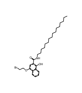 CCCCCCCCCCCCCCCCNC(=O)c1cc(OCCBr)c2ccccc2c1O